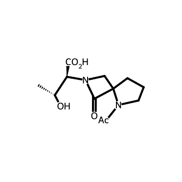 CC(=O)N1CCCC12CN([C@H](C(=O)O)[C@@H](C)O)C2=O